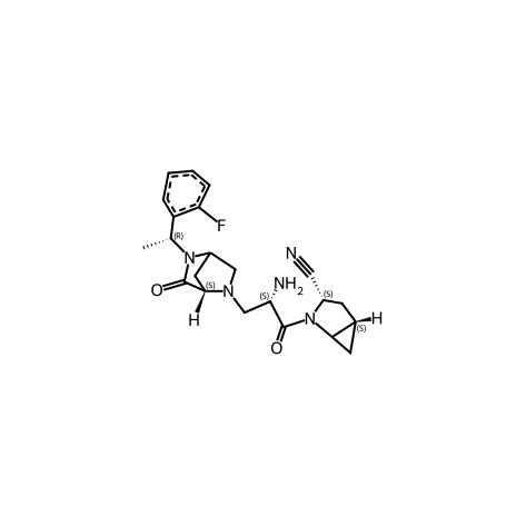 C[C@H](c1ccccc1F)N1C(=O)[C@@H]2CC1CN2C[C@H](N)C(=O)N1C2C[C@H]2C[C@H]1C#N